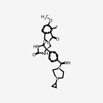 COc1ccc2c(c1F)C(=O)N(C[C@@]1(c3ccc(C(=N)N4CCN(C5CC5)CC4)cc3)NC(=O)NC1=O)C2